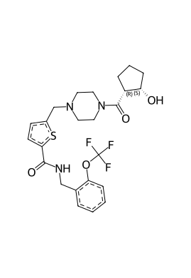 O=C(NCc1ccccc1OC(F)(F)F)c1ccc(CN2CCN(C(=O)[C@@H]3CCC[C@@H]3O)CC2)s1